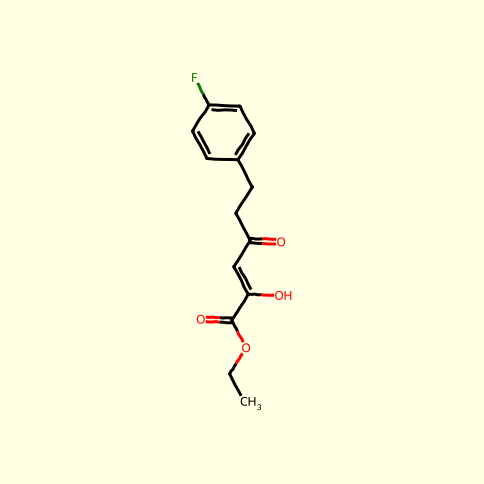 CCOC(=O)/C(O)=C/C(=O)CCc1ccc(F)cc1